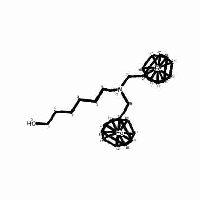 OCCCCCCN(C[C]12[CH]3[CH]4[CH]5[CH]1[Fe]45321678[CH]2[CH]1[CH]6[CH]7[CH]28)C[C]12[CH]3[CH]4[CH]5[CH]1[Fe]45321678[CH]2[CH]1[CH]6[CH]7[CH]28